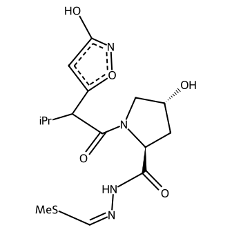 CS/C=N\NC(=O)[C@@H]1C[C@@H](O)CN1C(=O)C(c1cc(O)no1)C(C)C